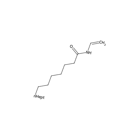 C=CNC(=O)CCCCCCCCCCCCC